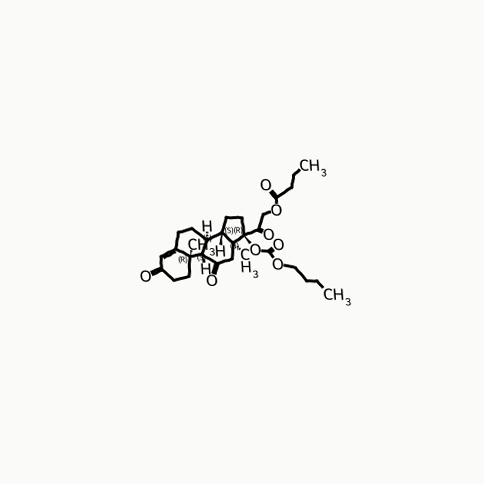 CCCCOC(=O)O[C@]1(C(=O)COC(=O)CCC)CC[C@H]2[C@@H]3CCC4=CC(=O)CC[C@]4(C)[C@H]3C(=O)C[C@@]21C